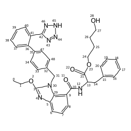 CCOc1nc2cccc(C(=O)NC(Cc3ccccc3)C(=O)OCCCCO)c2n1Cc1ccc(-c2ccccc2-c2nn[nH]n2)cc1